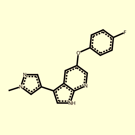 Cn1cc(-c2c[nH]c3ncc(Oc4ccc(F)cc4)cc23)cn1